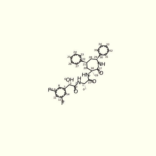 C[C@H](NC(=O)[C@@H](O)c1cc(F)cc(F)c1)C(=O)N[C@@]1(C)C[C@@H](c2ccccc2)C[C@@H](c2ccccc2)NC1=O